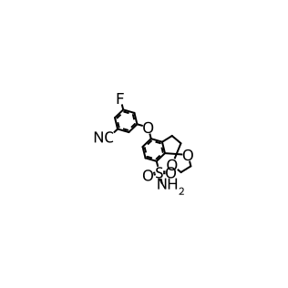 N#Cc1cc(F)cc(Oc2ccc(S(N)(=O)=O)c3c2CCC32OCCO2)c1